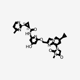 Cc1ccnc([C@H]2C[C@@H]2C(=O)Nc2cc(O)cc(OCc3cn4cc(C5CC5)cc(N5CC(=O)N(C)C5=O)c4n3)n2)n1